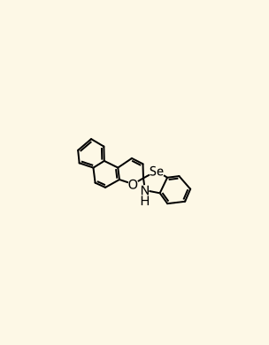 C1=CC2(Nc3ccccc3[Se]2)Oc2ccc3ccccc3c21